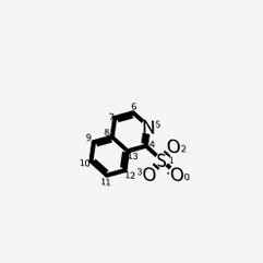 [O]S(=O)(=O)c1nccc2ccccc12